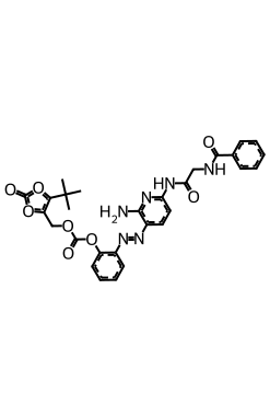 CC(C)(C)c1oc(=O)oc1COC(=O)Oc1ccccc1/N=N/c1ccc(NC(=O)CNC(=O)c2ccccc2)nc1N